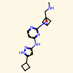 CNCC12CC(C1)N(c1nccc(Nc3cc(C4CCC4)[nH]n3)n1)C2